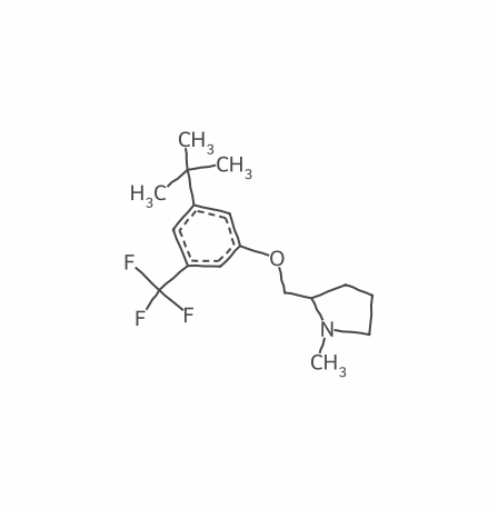 CN1CCCC1COc1cc(C(C)(C)C)cc(C(F)(F)F)c1